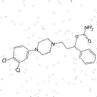 NC(=O)OC(CCN1CCN(c2ccc(Cl)c(Cl)c2)CC1)c1ccccc1